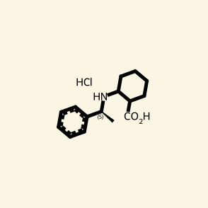 C[C@H](NC1CCCCC1C(=O)O)c1ccccc1.Cl